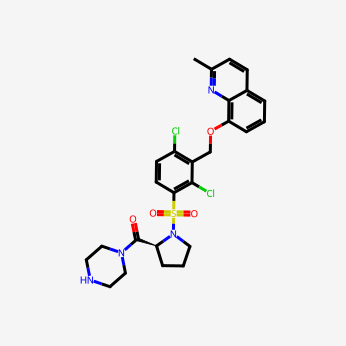 Cc1ccc2cccc(OCc3c(Cl)ccc(S(=O)(=O)N4CCC[C@H]4C(=O)N4CCNCC4)c3Cl)c2n1